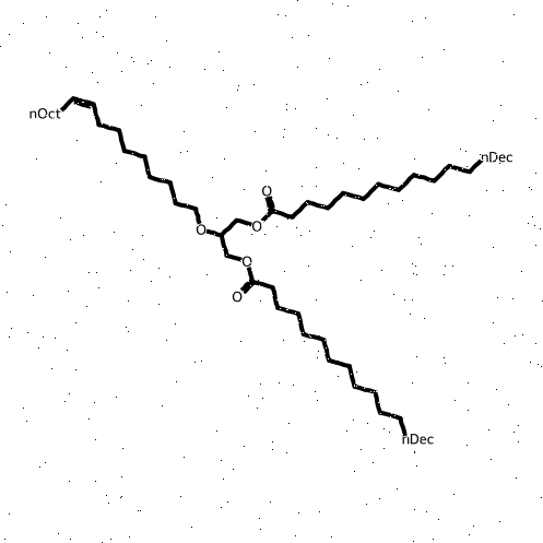 CCCCCCCC/C=C\CCCCCCCCOC(COC(=O)CCCCCCCCCCCCCCCCCCCCC)COC(=O)CCCCCCCCCCCCCCCCCCCCC